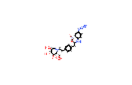 [N-]=[N+]=Nc1ccc(NCCc2ccc(CCN3C[C@H](O)[C@@H](O)[C@H](O)[C@H]3CO)cc2)c([N+](=O)[O-])c1